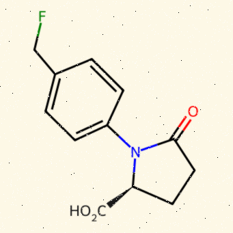 O=C(O)[C@@H]1CCC(=O)N1c1ccc(CF)cc1